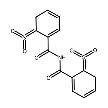 O=C(NC(=O)C1=CC=CCC1=S(=O)=O)C1=CC=CCC1=S(=O)=O